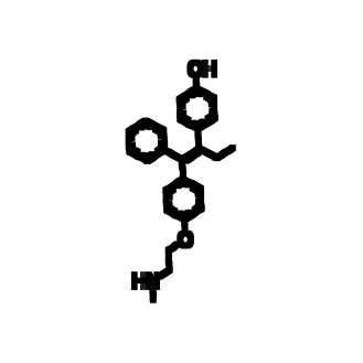 CCC(=C(c1ccccc1)c1ccc(OCCNC)cc1)c1ccc(O)cc1